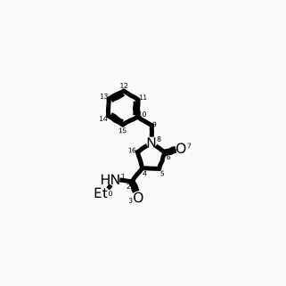 CCNC(=O)C1CC(=O)N(Cc2ccccc2)C1